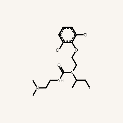 CC(CI)N(CCOc1c(Cl)cccc1Cl)C(=O)NCCN(C)C